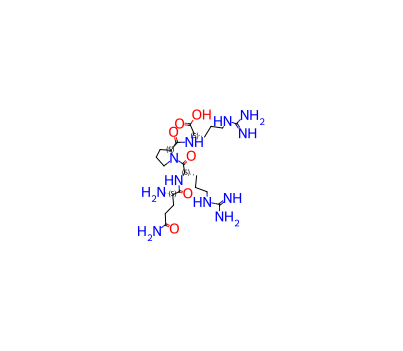 N=C(N)NCCC[C@H](NC(=O)[C@@H]1CCCN1C(=O)[C@H](CCCNC(=N)N)NC(=O)[C@@H](N)CCC(N)=O)C(=O)O